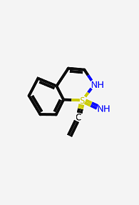 C=C=S1(=N)NC=Cc2ccccc21